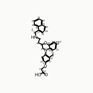 C[C@@H](NCCC1CN(c2ccc(OCC(=O)O)cc2F)c2ccccc2O1)c1cccc2ccccc12.Cl